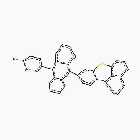 CC(C)(C)c1ccc(-c2c3ccccc3c(-c3ccc4c(c3)Sc3cccc5cccc-4c35)c3ccccc23)cc1